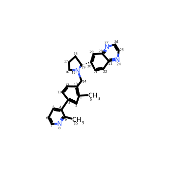 Cc1cc(-c2cccnc2C)ccc1CN1CCC[C@@H]1c1ccc2nccnc2c1